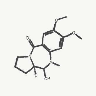 COc1cc2c(cc1OC)N(C)C(O)[C@@H]1CCCN1C2=O